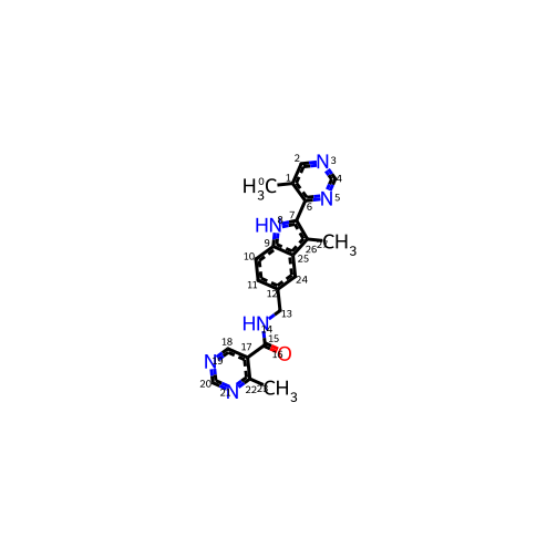 Cc1cncnc1-c1[nH]c2ccc(CNC(=O)c3cncnc3C)cc2c1C